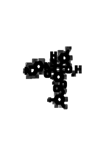 Cc1cc(C)cc(CC(=O)Oc2ccc(C(C(=O)Nc3ccc4cnccc4c3)C(N)C(C(=O)O)c3ccc(C)cc3C)cc2)c1